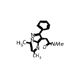 CNC(=O)Cc1c(-c2ccccc2)nn2c(C)cc(C)nc12